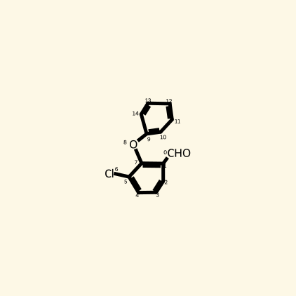 O=Cc1cccc(Cl)c1Oc1ccccc1